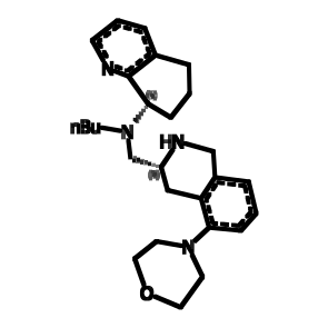 CCCCN(C[C@H]1Cc2c(cccc2N2CCOCC2)CN1)[C@H]1CCCc2cccnc21